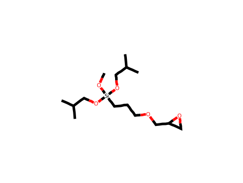 CO[Si](CCCOCC1CO1)(OCC(C)C)OCC(C)C